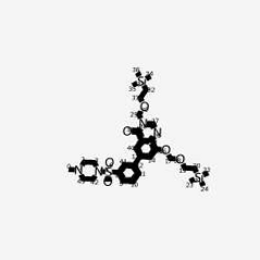 CN1CCN(S(=O)(=O)c2cccc(-c3cc(OCOCC[Si](C)(C)C)c4ncn(COCC[Si](C)(C)C)c(=O)c4c3)c2)CC1